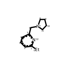 CCc1cccc(CN2CCCC2)n1